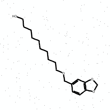 OCCCCCCCCCCOCc1ccc2c(c1)OCO2